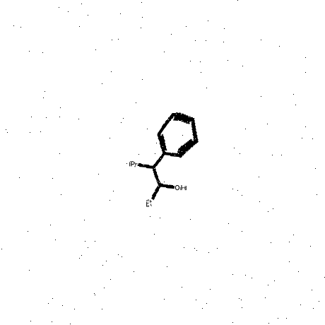 CCC(O)C(c1ccccc1)C(C)C